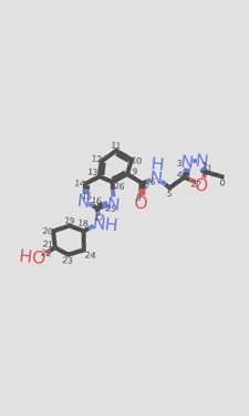 Cc1nnc(CNC(=O)c2cccc3cnc(NC4CCC(O)CC4)nc23)o1